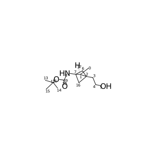 C[C@H]1C2(CCO)CC1(NC(=O)OC(C)(C)C)C2